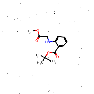 COC(=O)CNc1ccccc1C(=O)OC(C)(C)C